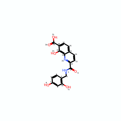 O=C(NCc1ccc(O)cc1O)c1ccc2ccc(C(=O)O)c(O)c2n1